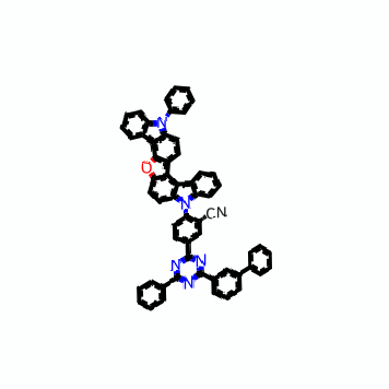 N#Cc1cc(-c2nc(-c3ccccc3)nc(-c3cccc(-c4ccccc4)c3)n2)ccc1-n1c2ccccc2c2c3c(ccc21)oc1c3ccc2c1c1ccccc1n2-c1ccccc1